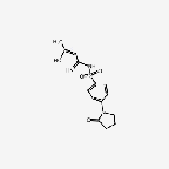 C/C(O)=C/C(=N)NS(=O)(=O)c1ccc(N2CCCC2=O)cc1